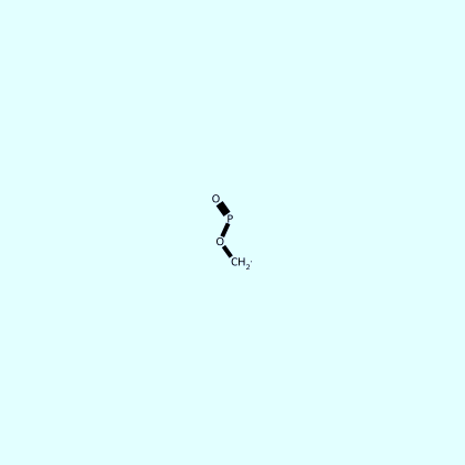 [CH2]OP=O